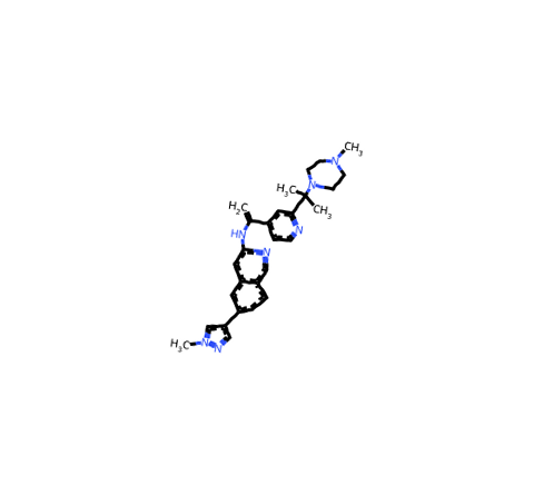 C=C(Nc1cc2cc(-c3cnn(C)c3)ccc2cn1)c1ccnc(C(C)(C)N2CCN(C)CC2)c1